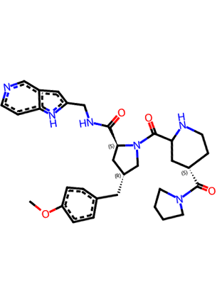 COc1ccc(C[C@@H]2C[C@@H](C(=O)NCc3cc4cnccc4[nH]3)N(C(=O)C3C[C@@H](C(=O)N4CCCC4)CCN3)C2)cc1